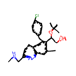 CNCc1ccc2c(-c3ccc(Cl)cc3)c(C(CO)OC(C)(C)C)c(C)cc2n1